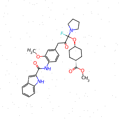 COc1cc(CC(=O)C(F)(O[C@H]2CC[C@H](C(=O)OC)CC2)N2CCCC2)ccc1NC(=O)c1cc2ccccc2[nH]1